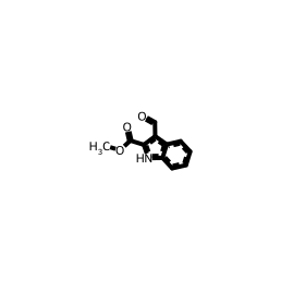 COC(=O)c1[nH]c2ccccc2c1C=O